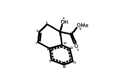 COC(=O)C1(O)CC=Cc2ccccc21